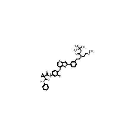 COCCN(CCc1cccc(-c2cc3nccc(Oc4ccc(NC(=O)C5(C(=O)Nc6ccccc6)CC5)cc4F)c3s2)c1)C(=O)OC(C)(C)C